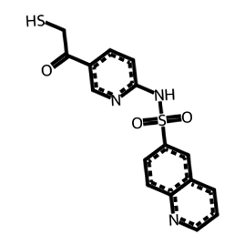 O=C(CS)c1ccc(NS(=O)(=O)c2ccc3ncccc3c2)nc1